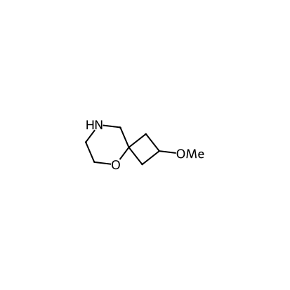 COC1CC2(CNCCO2)C1